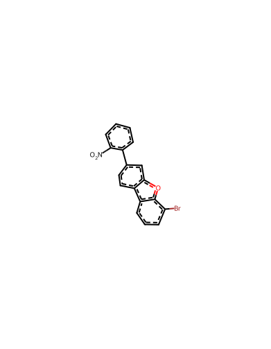 O=[N+]([O-])c1ccccc1-c1ccc2c(c1)oc1c(Br)cccc12